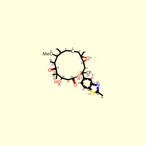 COC1C(C)CCCC2(C)OC2CC(c2ccc3sc(C)nc3c2)(C(F)(F)F)OC(=O)CC(O)C(C)(C)C(=O)C1C